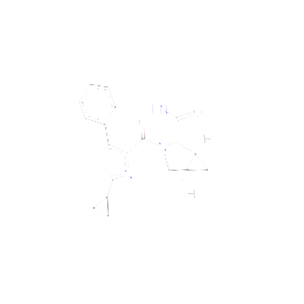 NC(=O)[C@@H]1[C@H]2C[C@H]2CN1C(=O)c1nc(C2CC2)sc1-c1ccccc1